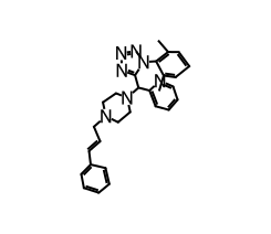 Cc1cccc(C)c1-n1nnnc1C(c1ccccn1)N1CCN(C/C=C/c2ccccc2)CC1